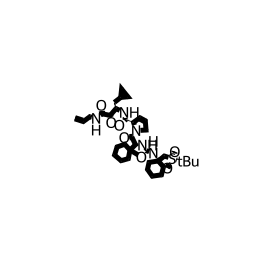 C=CCNC(=O)C(=O)[C@H](CC1CC1)NC(=O)[C@@H]1C=CCN1C(=O)[C@@H](NC(=O)NC1(CS(=O)(=O)C(C)(C)C)CCCCC1)C1(C)CCCCC1